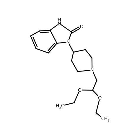 CCOC(CN1CCC(n2c(=O)[nH]c3ccccc32)CC1)OCC